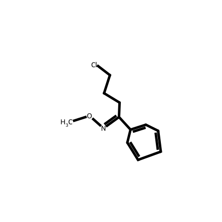 CON=C(CCCCl)c1ccccc1